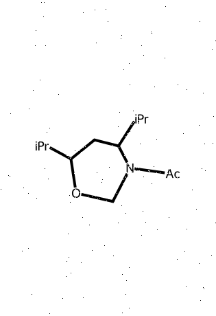 CC(=O)N1COC(C(C)C)CC1C(C)C